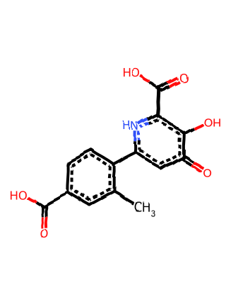 Cc1cc(C(=O)O)ccc1-c1cc(=O)c(O)c(C(=O)O)[nH]1